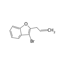 C=CCc1oc2ccccc2c1Br